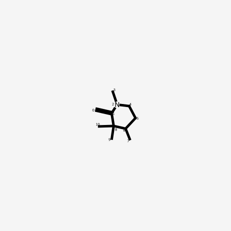 C=C1N(C)CCC(C)C1(C)C